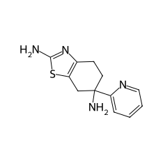 Nc1nc2c(s1)CC(N)(c1ccccn1)CC2